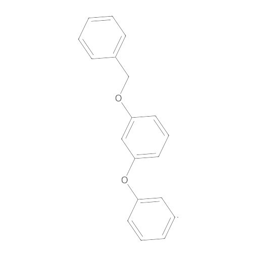 [c]1cccc(Oc2cccc(OCc3ccccc3)c2)c1